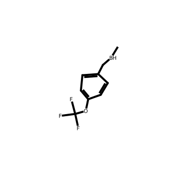 CBCc1ccc(OC(F)(F)F)cc1